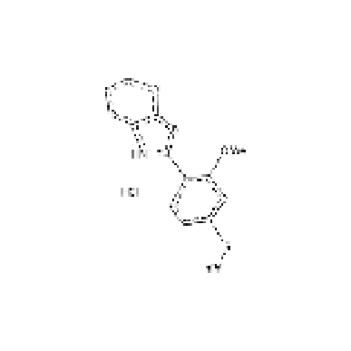 CCCSc1ccc(-c2nc3ncccc3[nH]2)c(OC)c1.Cl